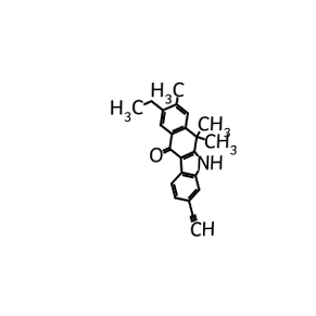 C#Cc1ccc2c3c([nH]c2c1)C(C)(C)c1cc(C)c(CC)cc1C3=O